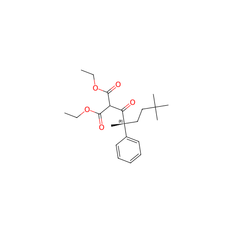 CCOC(=O)C(C(=O)OCC)C(=O)[C@](C)(CCC(C)(C)C)c1ccccc1